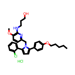 CCCCCOc1ccc(-c2ccc(-c3ccccc3Cl)n2Cc2ccc(OC)c(NCCCO)n2)cc1.Cl